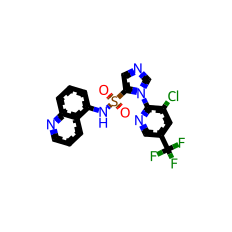 O=S(=O)(Nc1cccc2ncccc12)c1cncn1-c1ncc(C(F)(F)F)cc1Cl